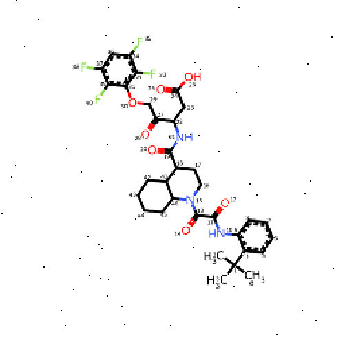 CC(C)(C)c1ccccc1NC(=O)C(=O)N1CCC(C(=O)NC(CC(=O)O)C(=O)COc2c(F)c(F)cc(F)c2F)C2CCCCC21